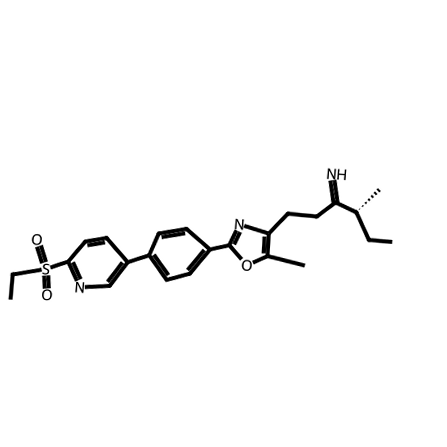 CC[C@@H](C)C(=N)CCc1nc(-c2ccc(-c3ccc(S(=O)(=O)CC)nc3)cc2)oc1C